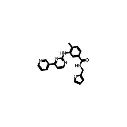 Cc1ccc(C(=O)NCc2ccco2)cc1Nc1nccc(-c2cccnc2)n1